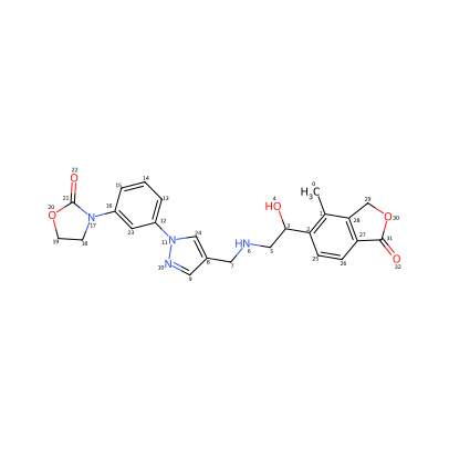 Cc1c(C(O)CNCc2cnn(-c3cccc(N4CCOC4=O)c3)c2)ccc2c1COC2=O